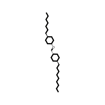 CCCCCCCCC[C@H]1CC[C@H](CO[C@H]2CC[C@H](CCCCCCC)CC2)CC1